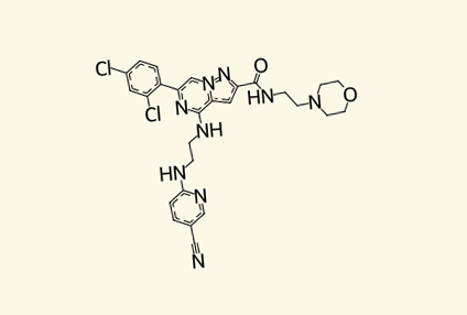 N#Cc1ccc(NCCNc2nc(-c3ccc(Cl)cc3Cl)cn3nc(C(=O)NCCN4CCOCC4)cc23)nc1